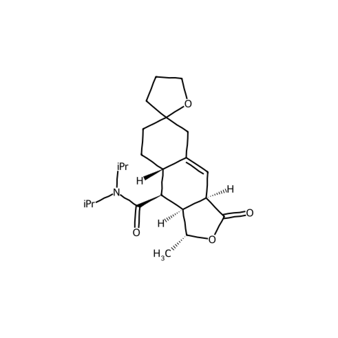 CC(C)N(C(=O)[C@@H]1[C@@H]2[C@@H](C)OC(=O)[C@@H]2C=C2CC3(CCCO3)CC[C@H]21)C(C)C